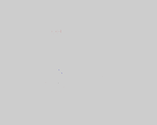 CC(C)Oc1cc2oc(=O)n(CCC(=O)O)c2cc1Cl